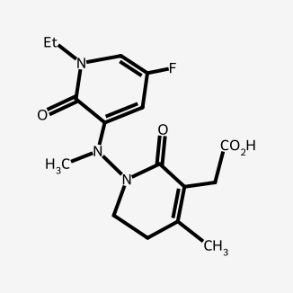 CCn1cc(F)cc(N(C)N2CCC(C)=C(CC(=O)O)C2=O)c1=O